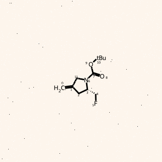 C=C1C[C@@H](CF)N(C(=O)OC(C)(C)C)C1